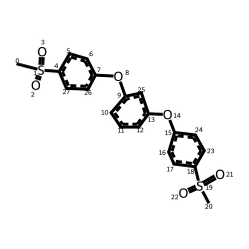 CS(=O)(=O)c1ccc(Oc2cccc(Oc3ccc(S(C)(=O)=O)cc3)c2)cc1